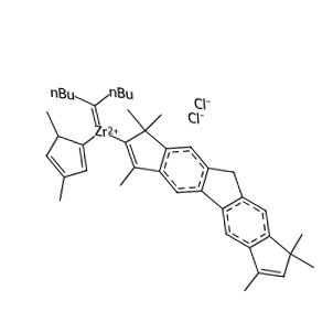 CCCC[C](CCCC)=[Zr+2]([C]1=CC(C)=CC1C)[C]1=C(C)c2cc3c(cc2C1(C)C)Cc1cc2c(cc1-3)C(C)=CC2(C)C.[Cl-].[Cl-]